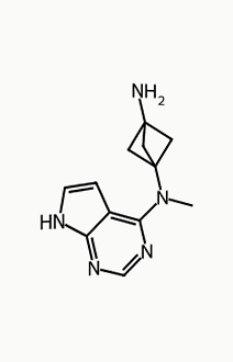 CN(c1ncnc2[nH]ccc12)C12CC(N)(C1)C2